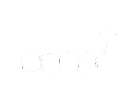 FC(F)(F)c1cnc(Nc2ccc3c(c2)CCCC3)nc1NC1CCC1